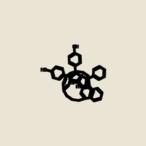 Oc1ccc(-c2nc(-c3cc4ccc3CCCc3ccc(cc3-c3nc(-c5ccccc5)c(-c5ccccc5)[nH]3)CCC4)[nH]c2-c2ccc(O)cc2)cc1